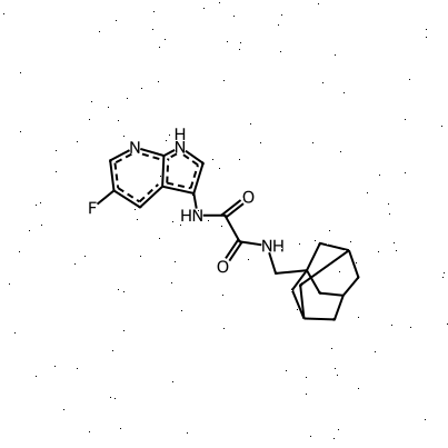 O=C(NCC12CC3CC(CC(C3)C1)C2)C(=O)Nc1c[nH]c2ncc(F)cc12